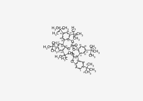 CC(C)(C)c1ccc2c(c1)C(c1cc(C(C)(C)C)ccc1OP1(=O)Oc3c(cc(C(C)(C)C)cc3C(C)(C)C)-c3cc(C(C)(C)C)cc(C(C)(C)C)c3O1)C(=O)O2